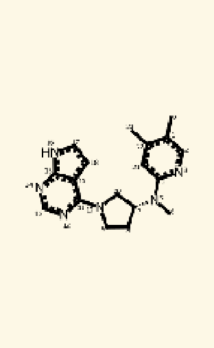 Cc1cnc(N(C)[C@@H]2CCN(c3ncnc4[nH]ccc34)C2)cc1C